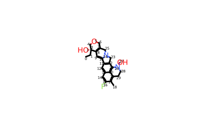 CC[C@@]1(O)COCC2=C1C=C1c3cc4cc(F)c(C)c5c4c(c3CN1C2)N(O)CC5